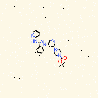 CC(C)(C)OC(=O)N1CCN(c2cncc(-n3nc(Nc4ccccn4)c4ccccc43)c2)CC1